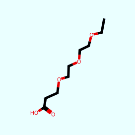 CCOCCOCCOC[CH]C(=O)O